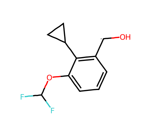 O[CH]c1cccc(OC(F)F)c1C1CC1